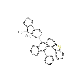 CC1(C)c2ccccc2-c2ccc(-c3c4ccccc4c(-c4ccccc4)c4c3ccc3sc5ccccc5c34)cc21